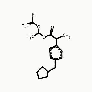 C=C(CC)OC(C)OC(=O)C(C)c1ccc(CC2CCCC2)cc1